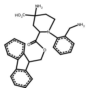 NCc1ccccc1N1CCC(N)(C(=O)O)CC1C(=O)OCC1c2ccccc2-c2ccccc21